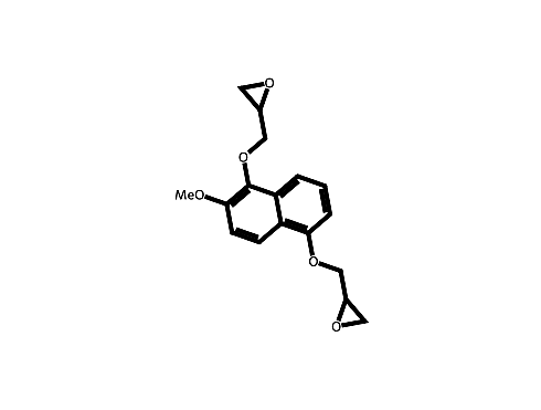 COc1ccc2c(OCC3CO3)cccc2c1OCC1CO1